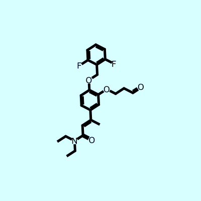 CCN(CC)C(=O)/C=C(\C)c1ccc(OCc2c(F)cccc2F)c(OCCC=O)c1